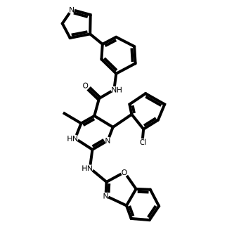 CC1=C(C(=O)Nc2cccc(C3=CCN=C3)c2)C(c2ccccc2Cl)N=C(Nc2nc3ccccc3o2)N1